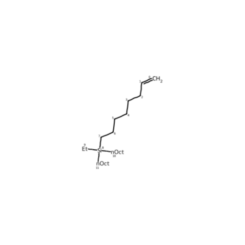 C=CCCCCCC[Si](CC)(CCCCCCCC)CCCCCCCC